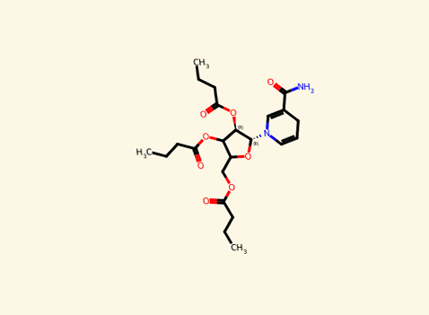 CCCC(=O)OCC1O[C@@H](N2C=CCC(C(N)=O)=C2)[C@H](OC(=O)CCC)C1OC(=O)CCC